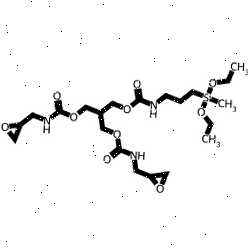 CCO[Si](C)(CCCNC(=O)OCC(COC(=O)NCC1CO1)COC(=O)NCC1CO1)OCC